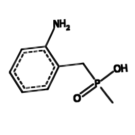 CP(=O)(O)Cc1ccccc1N